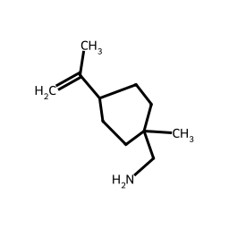 C=C(C)C1CCC(C)(CN)CC1